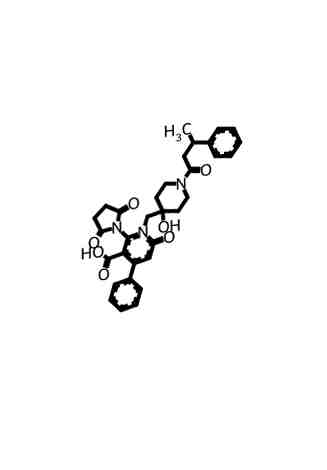 CC(CC(=O)N1CCC(O)(Cn2c(N3C(=O)CCC3=O)c(C(=O)O)c(-c3ccccc3)cc2=O)CC1)c1ccccc1